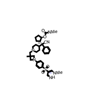 CN/C=C(\C=N)S(=O)(=O)c1ccc(N2CC(C)(CN3CCC(C(C#N)(c4ccccc4)[C@@H]4CCC[C@H]4OC(=O)NC)CC3)C2)cc1